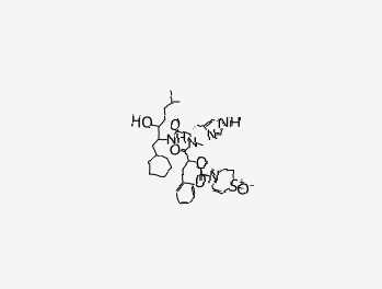 CC(C)CCC(O)C(CC1CCCCC1)NC(=O)[C@H](Cc1c[nH]cn1)N(C)C(=O)C(Cc1ccccc1)OC(=O)N1CC[S+]([O-])CC1